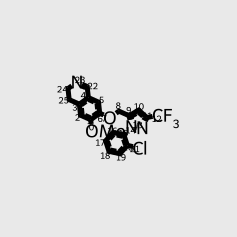 COc1cc2c(cc1OCc1cc(C(F)(F)F)nn1-c1ccccc1Cl)C=NCC2